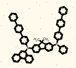 CC1(C)c2cc(N(c3ccccc3)c3ccc(-c4ccc(-c5ccccc5)cc4)cc3)ccc2-c2ccc(N(c3ccc(-c4ccc(-c5ccccc5)cc4)cc3)c3cc4ccccc4c4ccccc34)cc21